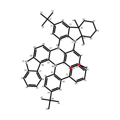 Cc1cc2c3c(c1)N1c4c(cc(C(C)(C)C)cc4C4(C)CCCCC14C)B3c1ccc3sc4ccccc4c3c1N2c1ccc(C(C)(C)C)cc1-c1ccccc1